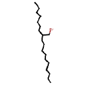 CCCCCCCCCCC(CBr)CCCCCCC